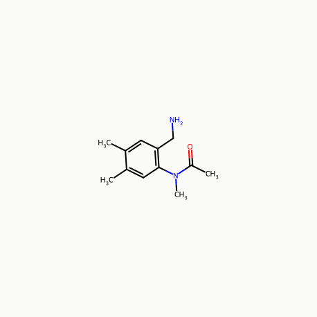 CC(=O)N(C)c1cc(C)c(C)cc1CN